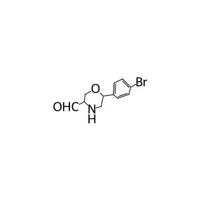 O=CC1COC(c2ccc(Br)cc2)CN1